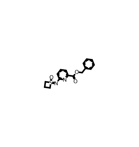 O=C(OCc1ccccc1)c1cccc(N=S2(=O)CCC2)n1